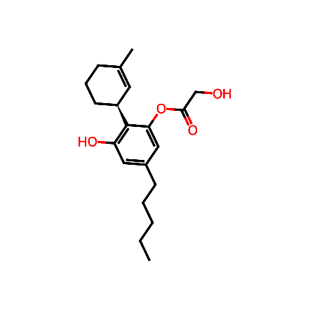 CCCCCc1cc(O)c([C@@H]2C=C(C)CCC2)c(OC(=O)CO)c1